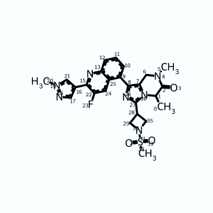 CC1C(=O)N(C)Cc2c(-c3cccc4nc(-c5cnn(C)c5)c(F)cc34)nc(C3CN(S(C)(=O)=O)C3)n21